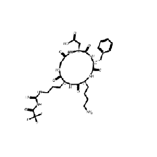 N=C(NCCC[C@@H]1NC(=O)[C@H](CCCCN)NC(=O)[C@@H](Cc2ccccc2)NC(=O)[C@H](CC(=O)O)NC(=O)CNC1=O)NC(=O)C(F)(F)F